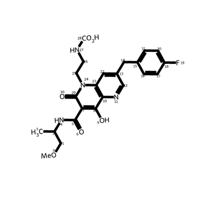 COCC(C)NC(=O)c1c(O)c2ncc(Cc3ccc(F)cc3)cc2n(CCNC(=O)O)c1=O